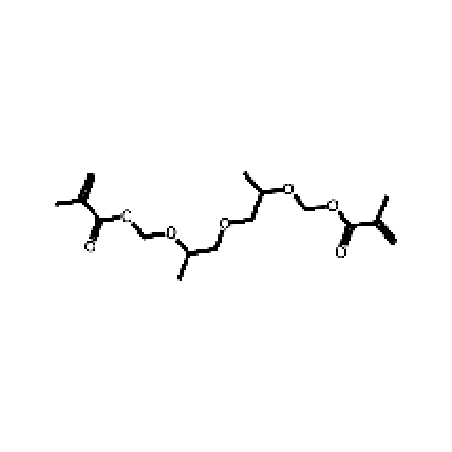 C=C(C)C(=O)OCOC(C)COCC(C)OCOC(=O)C(=C)C